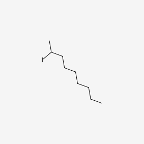 CCCCCCCC(C)I